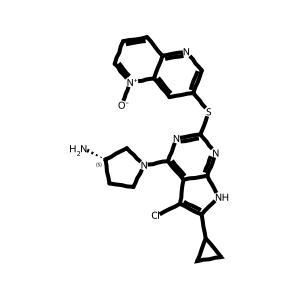 N[C@H]1CCN(c2nc(Sc3cnc4ccc[n+]([O-])c4c3)nc3[nH]c(C4CC4)c(Cl)c23)C1